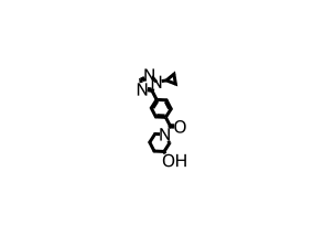 O=C(c1ccc(-c2ncnn2C2CC2)cc1)N1CCCC(O)C1